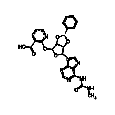 CNC(=O)Nc1ncnc2c1ncn2C1OC(Oc2ncccc2C(=O)O)C2O[C@H](c3ccccc3)OC21